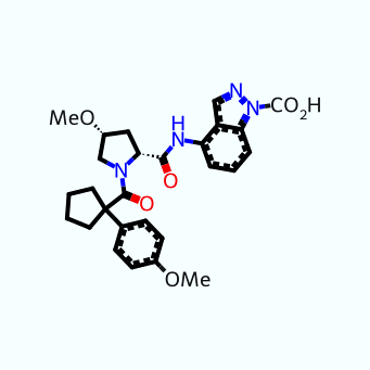 COc1ccc(C2(C(=O)N3C[C@H](OC)C[C@@H]3C(=O)Nc3cccc4c3cnn4C(=O)O)CCCC2)cc1